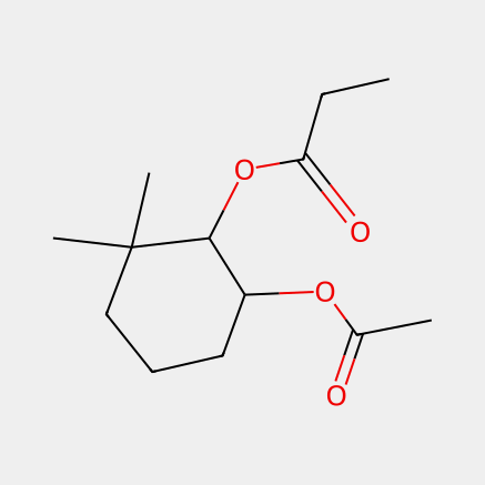 CCC(=O)OC1C(OC(C)=O)CCCC1(C)C